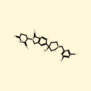 O=C1CCC(N2Cc3cc(C4(O)CCN(Cc5cc(F)cc(F)c5)CC4)ccc3C2=O)C(=O)N1